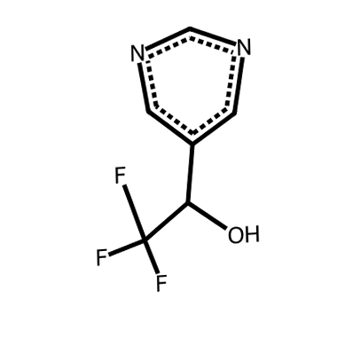 OC(c1cncnc1)C(F)(F)F